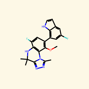 COc1c(-c2cc(F)cc3cc[nH]c23)cc(F)c2c1-n1c(C)nnc1C(C)(C)N2